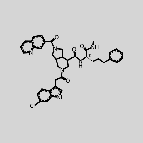 CNC(=O)[C@H](CCCc1ccccc1)NC(=O)C1CN(C(=O)Cc2c[nH]c3cc(Cl)ccc23)CC2CN(C(=O)c3ccc4cccnc4c3)CC21